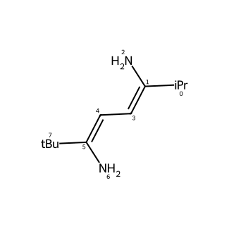 CC(C)/C(N)=C/C=C(\N)C(C)(C)C